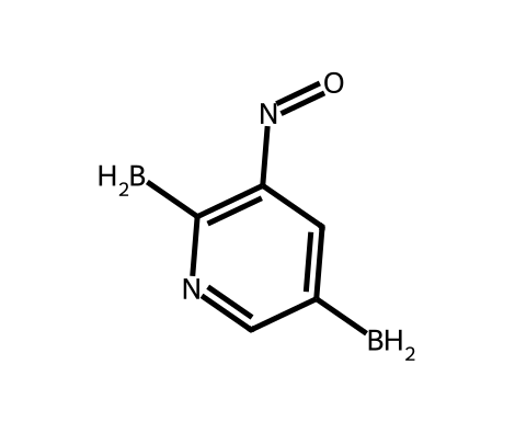 Bc1cnc(B)c(N=O)c1